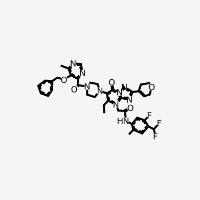 CCc1c(N2CCN(C(=O)c3ncnc(C)c3OCc3ccccc3)CC2)c(=O)n2nc(C3=CCOCC3)nc2n1CC(=O)Nc1cc(F)c(C(F)F)cc1C